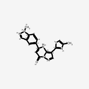 Cc1csc(-c2cnn3c(=O)cc(-c4ccc5c(cnn5C)c4)[nH]c23)n1